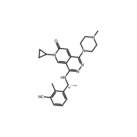 Cc1c(C#N)cccc1[C@@H](C)Nc1nnc(N2CCN(C)CC2)c2cc(=O)n(C3CC3)cc12